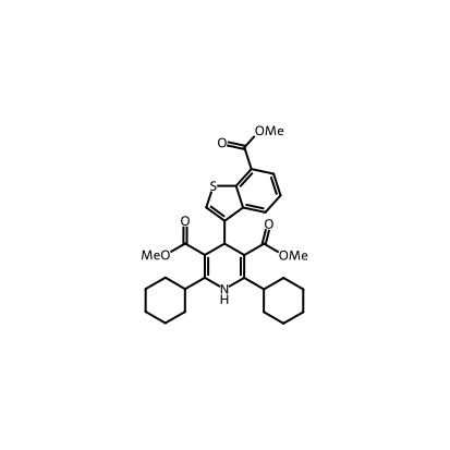 COC(=O)C1=C(C2CCCCC2)NC(C2CCCCC2)=C(C(=O)OC)C1c1csc2c(C(=O)OC)cccc12